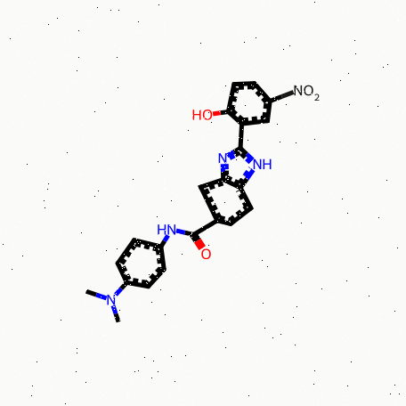 CN(C)c1ccc(NC(=O)c2ccc3[nH]c(-c4cc([N+](=O)[O-])ccc4O)nc3c2)cc1